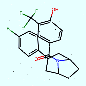 O=C(c1ccc(O)c(C(F)(F)F)c1)N1C2CCC1CC(c1ccc(F)cc1)C2